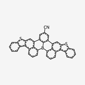 N#Cc1cc2c3c(c1)-c1cc4sc5ccccc5c4c4cccc(c14)B3c1cccc3c1c-2cc1sc2ccccc2c13